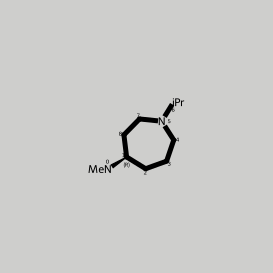 CN[C@@H]1CCCN(C(C)C)CC1